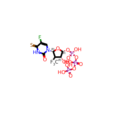 O=c1[nH]c(=S)c(F)cn1[C@@H]1O[C@H](OP(=O)(O)OP(=O)(O)OP(=O)(O)O)[C@H](O)C1C(F)(F)F